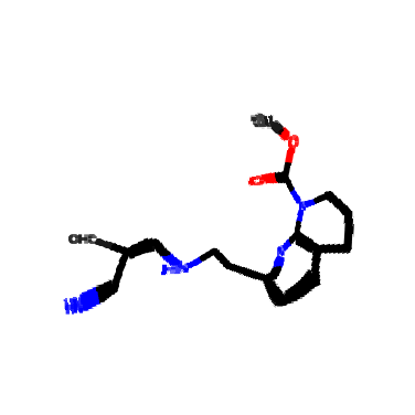 CC(C)(C)OC(=O)N1CCCc2ccc(CCN/C=C(\C=N)C=O)nc21